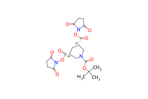 CC(C)(C)OC(=O)N1C[C@H](C(=O)ON2C(=O)CCC2=O)C[C@H](C(=O)ON2C(=O)CCC2=O)C1